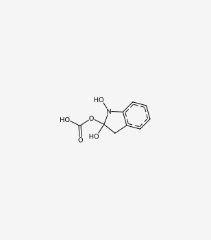 O=C(O)OC1(O)Cc2ccccc2N1O